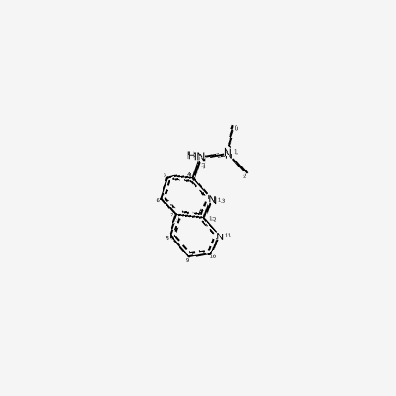 CN(C)Nc1ccc2cccnc2n1